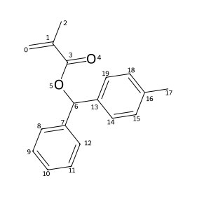 C=C(C)C(=O)OC(c1ccccc1)c1ccc(C)cc1